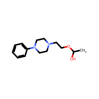 CC(O)OCCN1CCN(c2ccccc2)CC1